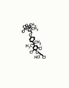 CC(=O)N(C[C@@H](C)COc1ccc(C(C)(C)c2cc(Cl)c(OC[C@@H](O)CCl)c(Cl)c2)cc1)S(C)(=O)=O